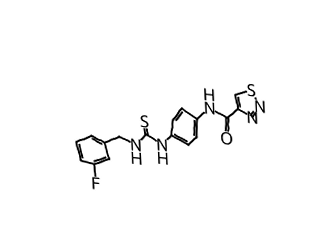 O=C(Nc1ccc(NC(=S)NCc2cccc(F)c2)cc1)c1csnn1